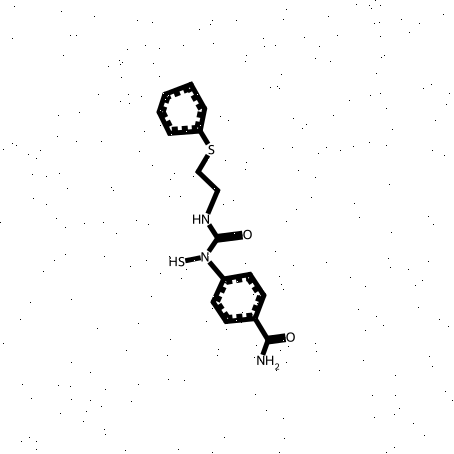 NC(=O)c1ccc(N(S)C(=O)NCCSc2ccccc2)cc1